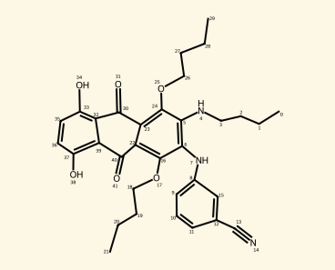 CCCCNc1c(Nc2cccc(C#N)c2)c(OCCCC)c2c(c1OCCCC)C(=O)c1c(O)ccc(O)c1C2=O